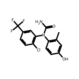 Cc1cc(O)ccc1N(C(N)=O)c1cc(C(F)(F)F)ccc1Cl